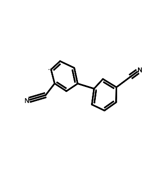 N#Cc1[c]ccc(-c2cccc(C#N)c2)c1